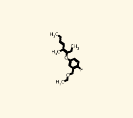 CC/C=C/C(C)=C(\CC)Oc1ccc(F)c(COCC)c1